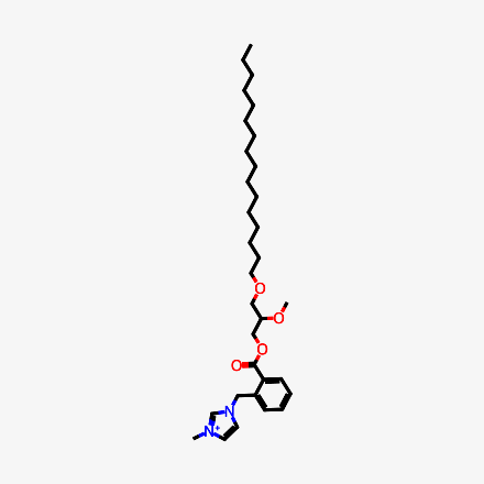 CCCCCCCCCCCCCCCCOCC(COC(=O)c1ccccc1Cn1cc[n+](C)c1)OC